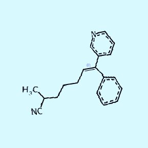 CC(C#N)CCC/C=C(\c1ccccc1)c1cccnc1